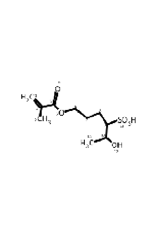 C=C(C)C(=O)OCCCC(C(C)O)S(=O)(=O)O